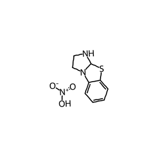 O=[N+]([O-])O.c1ccc2c(c1)SC1NCCN21